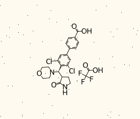 O=C(O)C(F)(F)F.O=C(O)c1ccc(-c2cc(Cl)c([C@@H](C3CCNC3=O)N3CCOCC3)c(Cl)c2)cc1